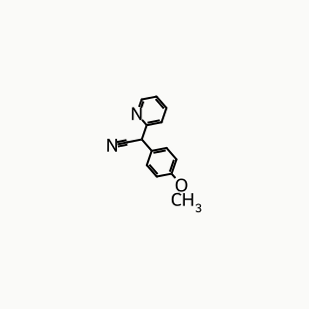 COc1ccc(C(C#N)c2ccccn2)cc1